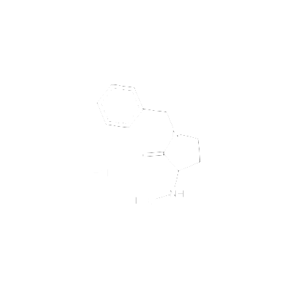 CNC1CCN(Cc2ccccc2)C1=O.Cl